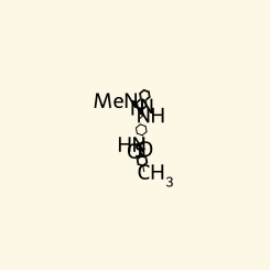 CNc1nc(NC[C@H]2CC[C@H](CNS(=O)(=O)c3ccc(C)cc3)CC2)nc2ccccc12